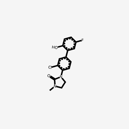 CN1CCN(c2ccc(-c3cc(F)ccc3O)cc2Cl)C1=O